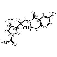 CC(C)(CN1CCc2ncc(Br)cc2C1=O)[C@H]1CN(C(=O)O)C[C@H]1F